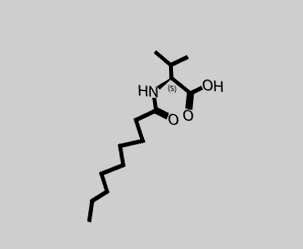 CCCCCCCCC(=O)N[C@H](C(=O)O)C(C)C